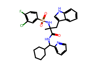 CC(Cc1c[nH]c2ccccc12)(NS(=O)(=O)c1ccc(F)c(Cl)c1)C(=O)NC(c1ccccn1)C1CCCCC1